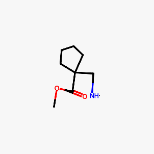 COC(=O)C1(C[NH])CCCC1